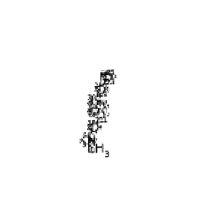 Cc1cccc(-c2ccc(-c3ccc4ccc5c(-c6ccc(-c7ccccn7)cc6)ccc6ccc3c4c65)cc2)n1